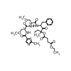 CCOC(=O)CCC(=O)O[C@](C)(CI)C(=O)C(Cc1ccccc1)NC(=O)[C@H](COC)NC(=O)[C@H](COC)NC(=O)c1cnc(C)s1